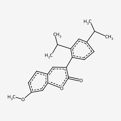 COc1ccc2cc(-c3ccc(C(C)C)cc3C(C)C)c(=O)oc2c1